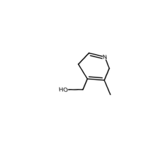 CC1=C(CO)CC=NC1